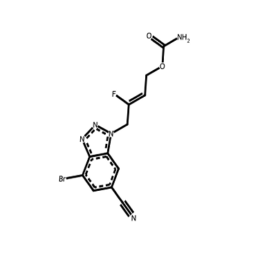 N#Cc1cc(Br)c2nnn(C/C(F)=C/COC(N)=O)c2c1